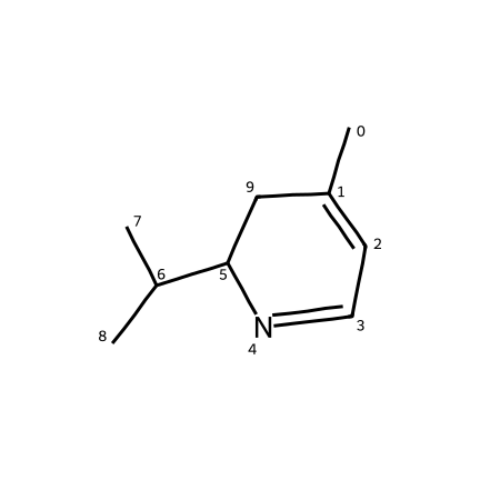 CC1=CC=NC(C(C)C)C1